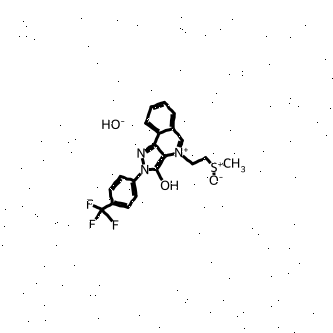 C[S+]([O-])CC[n+]1cc2ccccc2c2nn(-c3ccc(C(F)(F)F)cc3)c(O)c21.[OH-]